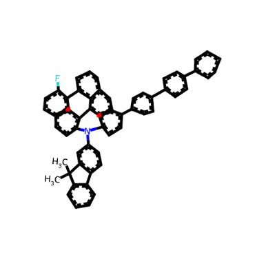 CC1(C)c2ccccc2-c2ccc(N(c3ccc(-c4ccc(-c5ccc(-c6ccccc6)cc5)cc4)cc3)c3ccccc3-c3cccc4cccc(-c5ccccc5F)c34)cc21